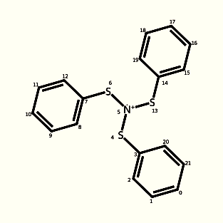 c1ccc(S[N+](Sc2ccccc2)Sc2ccccc2)cc1